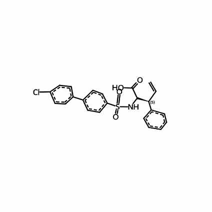 C=C[C@@H](c1ccccc1)C(NS(=O)(=O)c1ccc(-c2ccc(Cl)cc2)cc1)C(=O)O